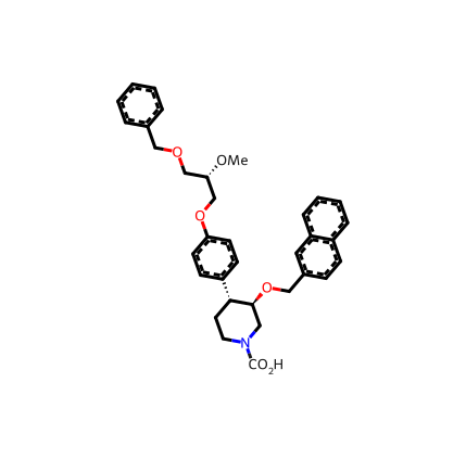 CO[C@@H](COCc1ccccc1)COc1ccc([C@H]2CCN(C(=O)O)C[C@@H]2OCc2ccc3ccccc3c2)cc1